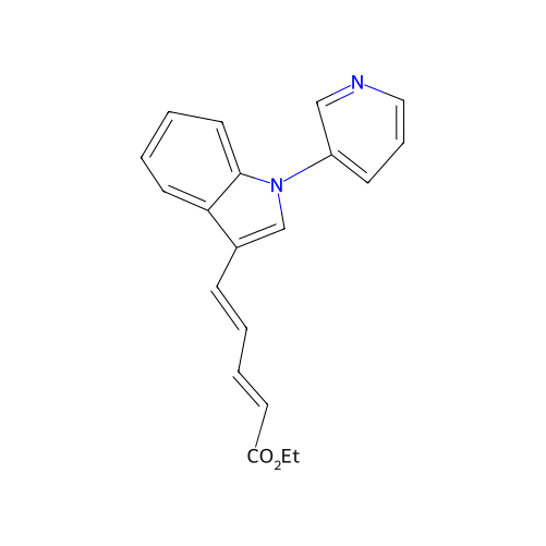 CCOC(=O)/C=C/C=C/c1cn(-c2cccnc2)c2ccccc12